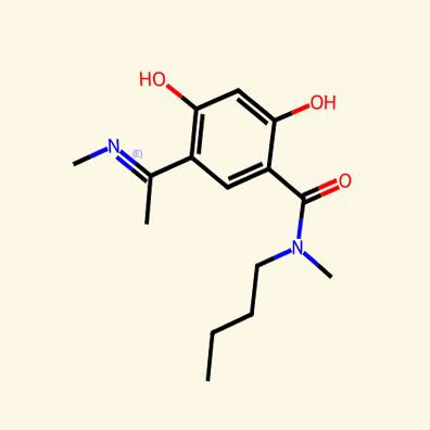 CCCCN(C)C(=O)c1cc(/C(C)=N/C)c(O)cc1O